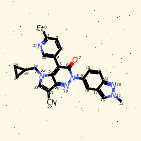 CCc1ccc(-c2c(=O)n(-c3ccc4nn(C)cc4c3)nc3c(C#N)cn(CC4CC4)c23)cn1